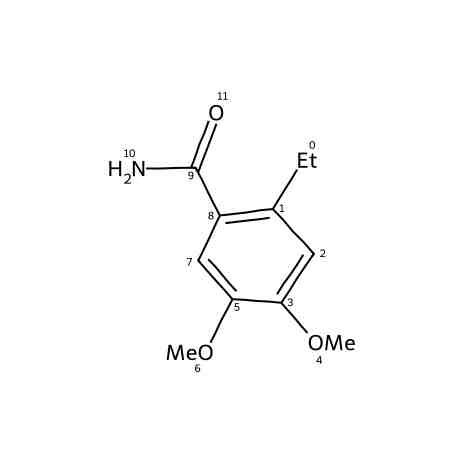 CCc1cc(OC)c(OC)cc1C(N)=O